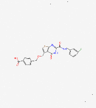 O=C(O)c1ccc(COCc2csc3nc(C(=O)NCc4cccc(F)c4)[nH]c(=O)c23)cc1